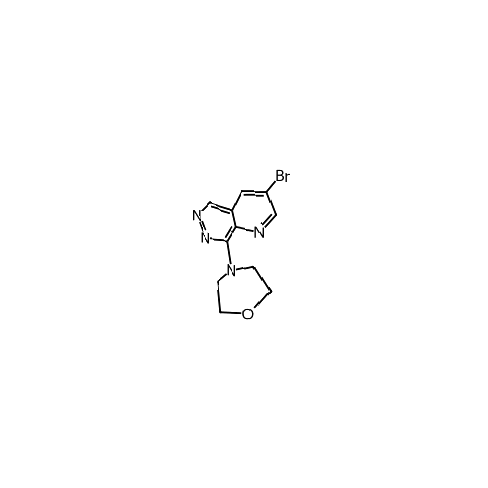 Brc1cnc2c(N3CCOCC3)nncc2c1